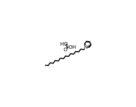 CCCCCCCCCCCCCCCC[n+]1ccccc1.O=S(O)O